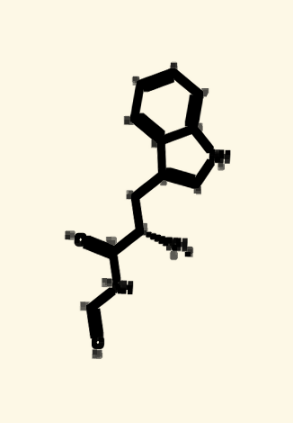 N[C@@H](Cc1c[nH]c2ccccc12)C(=O)NC=O